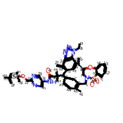 CC[C@@H]1CN(Cc2cc(C(c3ccc4c(nnn4CC)c3C)C(C)(C)C(=O)Nc3cnc(CO[Si](C)(C)C(C)(C)C)nc3)ccc2C)S(=O)(=O)c2ccccc2O1